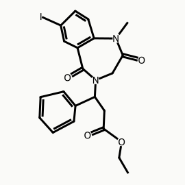 CCOC(=O)CC(c1ccccc1)N1CC(=O)N(C)c2ccc(I)cc2C1=O